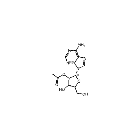 CC(=O)OC1C(O)C(CO)O[C@H]1n1cnc2c(N)ncnc21